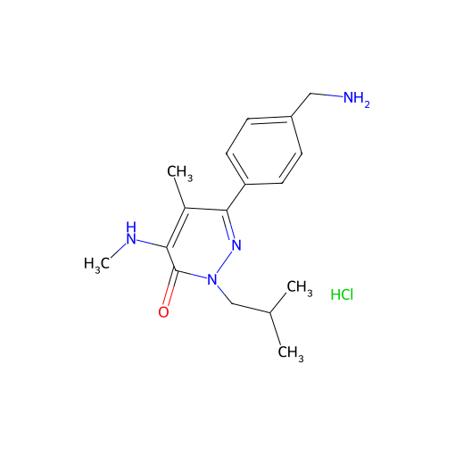 CNc1c(C)c(-c2ccc(CN)cc2)nn(CC(C)C)c1=O.Cl